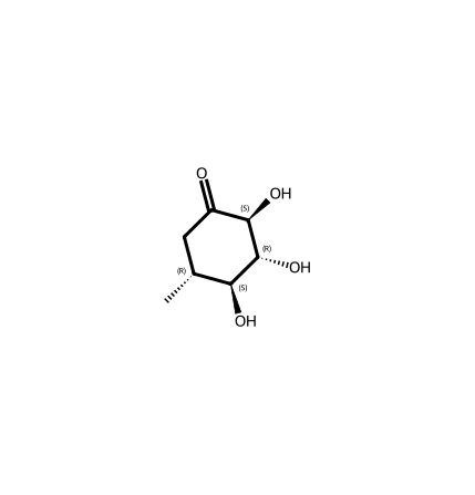 C[C@@H]1CC(=O)[C@@H](O)[C@H](O)[C@H]1O